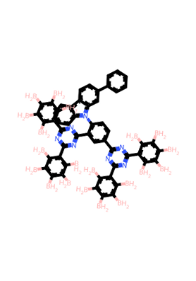 Bc1c(B)c(B)c(-c2nc(-c3ccc(-n4c5ccccc5c5ccc(-c6ccccc6)cc54)c(-c4nc(-c5c(B)c(B)c(B)c(B)c5B)nc(-c5c(B)c(B)c(B)c(B)c5B)n4)c3)nc(-c3c(B)c(B)c(B)c(B)c3B)n2)c(B)c1B